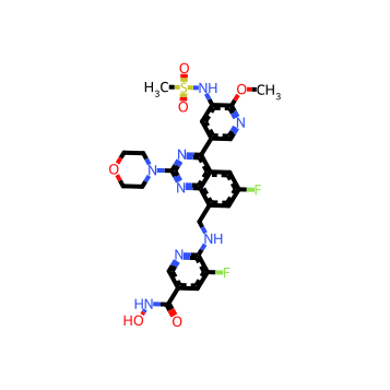 COc1ncc(-c2nc(N3CCOCC3)nc3c(CNc4ncc(C(=O)NO)cc4F)cc(F)cc23)cc1NS(C)(=O)=O